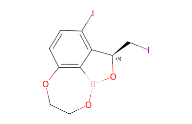 IC[C@H]1OB2OCCOc3ccc(I)c1c32